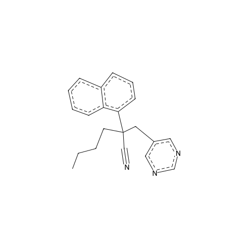 CCCCC(C#N)(Cc1cncnc1)c1cccc2ccccc12